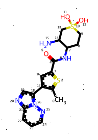 Cc1sc(C(=O)NC2CCS(O)(O)CC2N)cc1-c1cnc2cccnn12